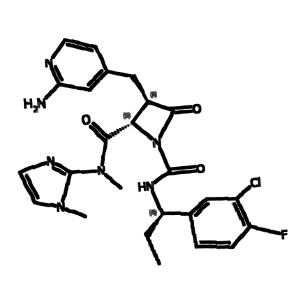 CC[C@@H](NC(=O)N1C(=O)[C@H](Cc2ccnc(N)c2)[C@H]1C(=O)N(C)c1nccn1C)c1ccc(F)c(Cl)c1